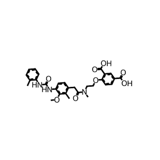 COc1c(NC(=O)Nc2ccccc2C)ccc(CC(=O)N(C)CCOc2ccc(C(=O)O)cc2C(=O)O)c1C